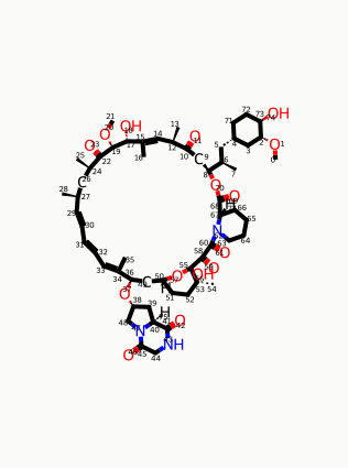 CO[C@@H]1C[C@H](C[C@@H](C)[C@@H]2CC(=O)[C@H](C)/C=C(\C)[C@@H](O)[C@@H](OC)C(=O)[C@H](C)C[C@H](C)/C=C/C=C/C=C(\C)[C@H](O[C@@H]3C[C@H]4C(=O)NCC(=O)N4C3)C[C@@H]3CC[C@@H](C)[C@@](O)(O3)C(=O)C(=O)N3CCCC[C@H]3C(=O)O2)CC[C@H]1O